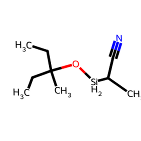 CCC(C)(CC)O[SiH2]C(C)C#N